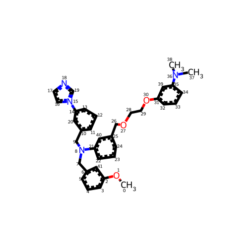 COc1cccc(CN(Cc2cccc(-n3ccnc3)c2)c2cccc(COCCOc3cccc(N(C)C)c3)c2)c1